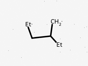 [CH2]C(CC)C[CH]C